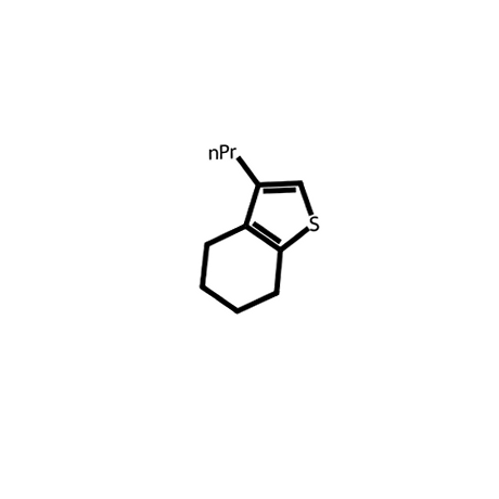 CCCc1csc2c1CCCC2